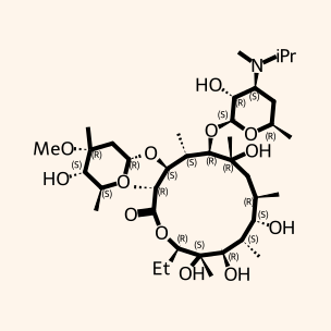 CC[C@H]1OC(=O)[C@H](C)[C@@H](O[C@H]2C[C@@](C)(OC)[C@@H](O)[C@H](C)O2)[C@H](C)[C@@H](O[C@@H]2O[C@H](C)C[C@H](N(C)C(C)C)[C@H]2O)[C@](C)(O)C[C@@H](C)[C@H](O)[C@H](C)[C@@H](O)[C@]1(C)O